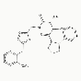 COc1ccccc1Cc1coc(CNC(=O)[C@H](OC(C)=O)[C@@H](OC(C)=O)C(=O)N2CCCC2c2ccccc2)n1